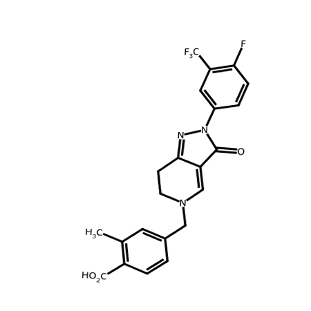 Cc1cc(CN2C=C3C(=O)N(c4ccc(F)c(C(F)(F)F)c4)N=C3CC2)ccc1C(=O)O